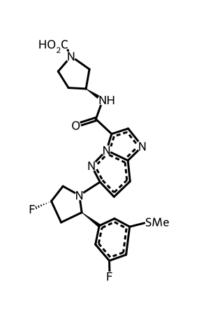 CSc1cc(F)cc([C@H]2C[C@H](F)CN2c2ccc3ncc(C(=O)N[C@H]4CCN(C(=O)O)C4)n3n2)c1